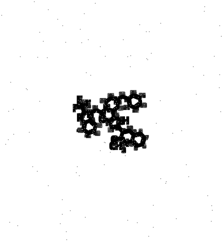 COc1nc2ccccc2cc1-c1cnc(C2CN(Cc3ccccc3)CCN2C(=O)Cn2c(C(F)(F)F)nc3ccccc32)[nH]1